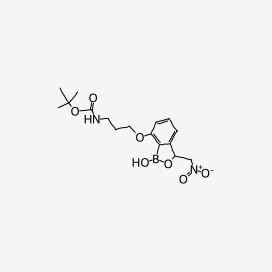 CC(C)(C)OC(=O)NCCCOc1cccc2c1B(O)OC2C[N+](=O)[O-]